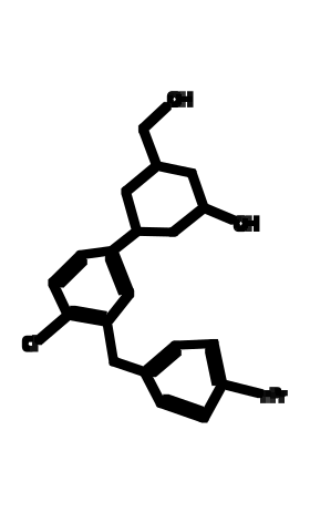 CCCc1ccc(Cc2cc(C3CC(O)CC(CO)C3)ccc2Cl)cc1